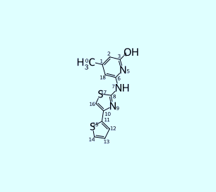 Cc1cc(O)nc(Nc2nc(-c3cccs3)cs2)c1